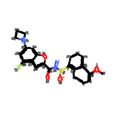 COc1cccc2c([S+]([O-])NC(=O)c3cc4c(F)cc(N5CCC5)cc4o3)cccc12